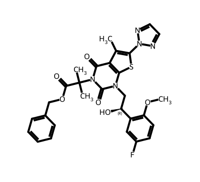 COc1ccc(F)cc1[C@@H](O)Cn1c(=O)n(C(C)(C)C(=O)OCc2ccccc2)c(=O)c2c(C)c(-n3nccn3)sc21